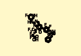 CC(n1c(=O)c(-c2ccc(NS(=O)(=O)Cc3ccccc3)c(F)c2F)cc2cnc(N[C@@H]3CNC[C@@H](F)C3)nc21)C(F)(F)F.O=C(O)C(F)(F)F